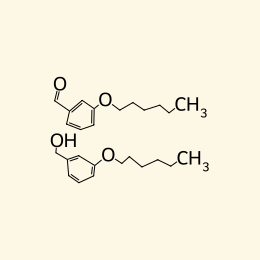 CCCCCCOc1cccc(C=O)c1.CCCCCCOc1cccc(CO)c1